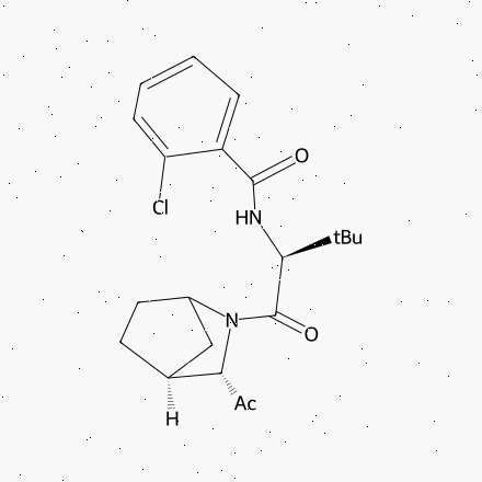 CC(=O)[C@@H]1[C@H]2CCC(C2)N1C(=O)[C@@H](NC(=O)c1ccccc1Cl)C(C)(C)C